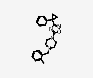 Cc1ccccc1CN1CCN(c2nc(C3(c4ccccc4)CC3)no2)CC1